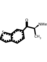 CN[C@@H](C)C(=O)c1ccc2ccsc2c1